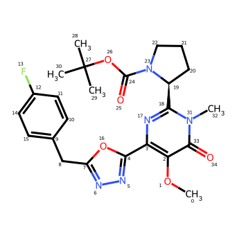 COc1c(-c2nnc(Cc3ccc(F)cc3)o2)nc([C@@H]2CCCN2C(=O)OC(C)(C)C)n(C)c1=O